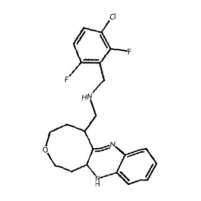 Fc1ccc(Cl)c(F)c1CNCC1CCOCCC2Nc3ccccc3N=C12